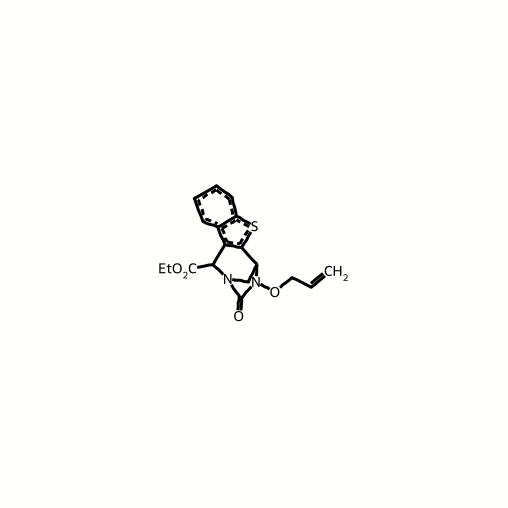 C=CCON1C(=O)N2CC1c1sc3ccccc3c1C2C(=O)OCC